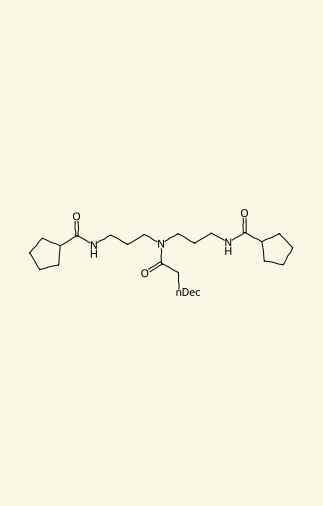 CCCCCCCCCCCC(=O)N(CCCNC(=O)C1CCCC1)CCCNC(=O)C1CCCC1